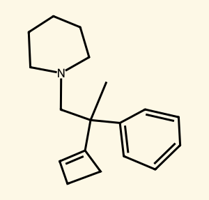 CC(CN1CCCCC1)(C1=CCC1)c1ccccc1